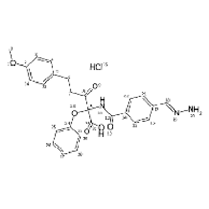 COc1ccc(CCC(=O)C(NC(=O)c2ccc(C=NN)cc2)(Oc2ccccc2)C(=O)O)cc1.Cl